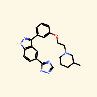 CC1CCCN(CCOc2cccc(-c3n[nH]c4ccc(-c5ncn[nH]5)cc34)c2)C1